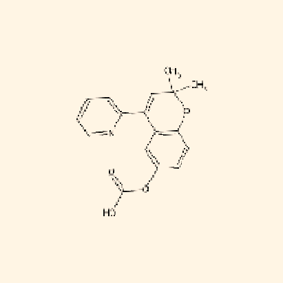 CC1(C)C=C(c2ccccn2)c2cc(OC(=O)O)ccc2O1